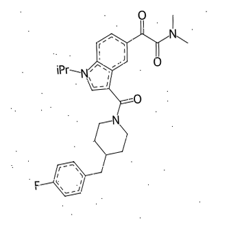 CC(C)n1cc(C(=O)N2CCC(Cc3ccc(F)cc3)CC2)c2cc(C(=O)C(=O)N(C)C)ccc21